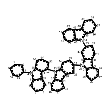 c1ccc(-n2c3ccccc3c3c(-n4c5ccccc5c5cc(-n6c7ccccc7c7ccc(-n8c9ccccc9c9ccccc98)cc76)ccc54)cccc32)cc1